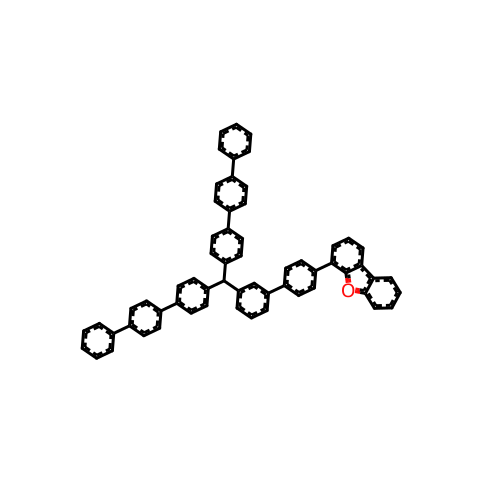 c1ccc(-c2ccc(-c3ccc(C(c4ccc(-c5ccc(-c6ccccc6)cc5)cc4)c4cccc(-c5ccc(-c6cccc7c6oc6ccccc67)cc5)c4)cc3)cc2)cc1